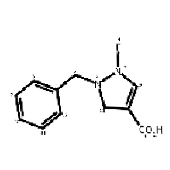 O=C(O)C1=CN(F)N(Cc2ccccc2)C1